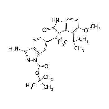 COc1ccc2c(c1C(C)(C)C)[C@]1(C[C@H]1c1ccc3c(N)nn(C(=O)OC(C)(C)C)c3c1)C(=O)N2